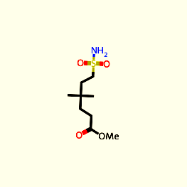 COC(=O)CCC(C)(C)CCS(N)(=O)=O